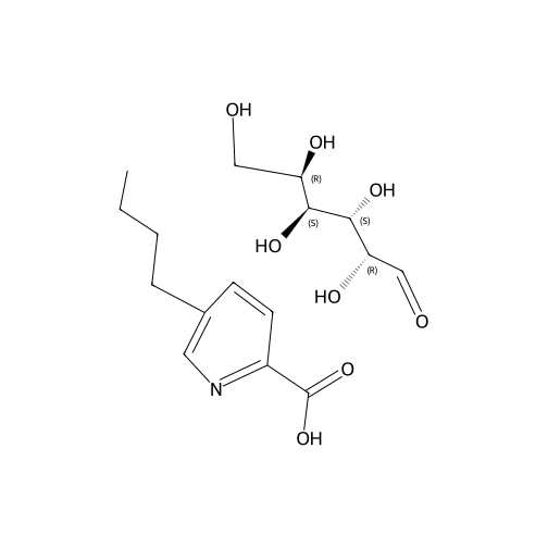 CCCCc1ccc(C(=O)O)nc1.O=C[C@H](O)[C@@H](O)[C@@H](O)[C@H](O)CO